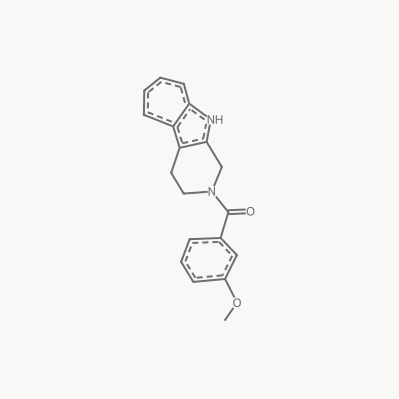 COc1cccc(C(=O)N2CCc3c([nH]c4ccccc34)C2)c1